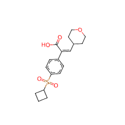 O=C(O)C(=CC1CCOCC1)c1ccc(S(=O)(=O)C2CCC2)cc1